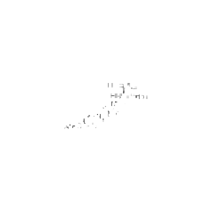 COc1ccc(N2CCN(c3cccc(Nc4cc(C(C)(C)C)ccc4C)n3)CC2)cc1